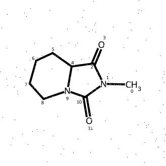 CN1C(=O)C2CCCCN2C1=O